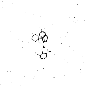 CN(C)c1cccc(N(C)C)c1NC(=O)N(Cc1ccc(O)cc1)CC1(c2ccccn2)CCCCC1